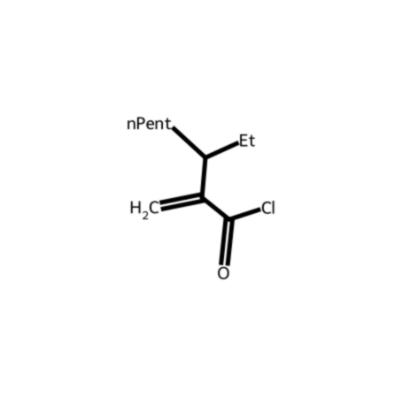 C=C(C(=O)Cl)C(CC)CCCCC